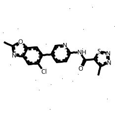 Cc1nc2cc(Cl)c(-c3ccc(NC(=O)c4snnc4C)nc3)cc2o1